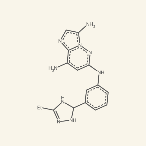 CCC1=NNC(c2cccc(Nc3cc(N)c4ncc(N)n4n3)c2)N1